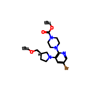 CC(C)(C)OC[C@@H]1CCN(c2cc(Br)cnc2N2CCN(C(=O)OC(C)(C)C)CC2)C1